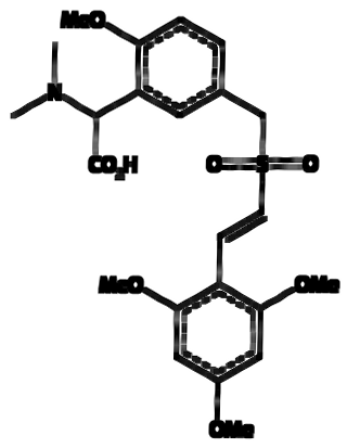 COc1cc(OC)c(/C=C/S(=O)(=O)Cc2ccc(OC)c(C(C(=O)O)N(C)C)c2)c(OC)c1